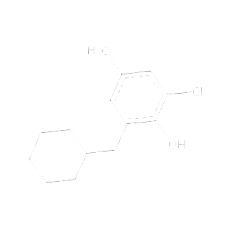 Cc1cc(Cl)c(O)c(CC2CCCCC2)c1